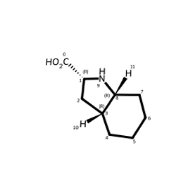 O=C(O)[C@H]1C[C@H]2CCCC[C@H]2N1